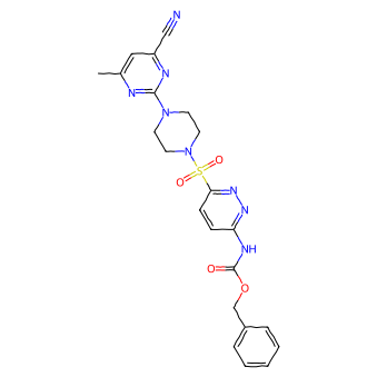 Cc1cc(C#N)nc(N2CCN(S(=O)(=O)c3ccc(NC(=O)OCc4ccccc4)nn3)CC2)n1